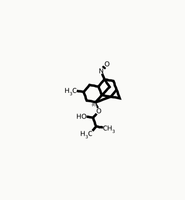 CC1CC2C3(N=O)CC4CC45C2(C3)[C@@]5(OC(O)C(C)C)C1